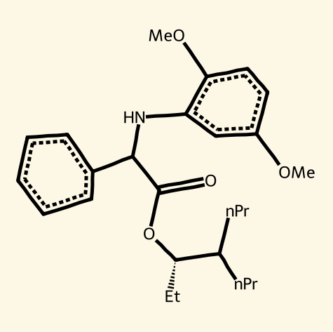 CCCC(CCC)[C@H](CC)OC(=O)C(Nc1cc(OC)ccc1OC)c1ccccc1